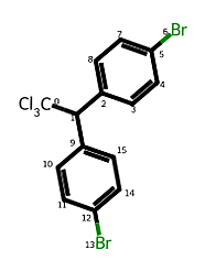 ClC(Cl)(Cl)C(c1ccc(Br)cc1)c1ccc(Br)cc1